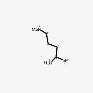 CCCC(N)CCCNC